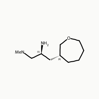 CNC[C@@H](N)C[C@H]1CCCCOC1